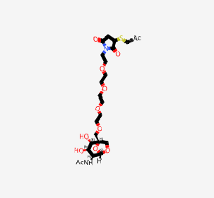 CC(=O)CSC1CC(=O)N(CCOCCOCCOCCOC[C@@]23CO[C@@H](O2)[C@@H](NC(C)=O)[C@@H](O)[C@H]3O)C1=O